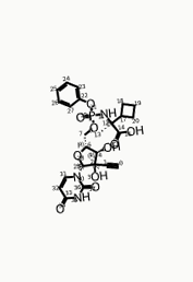 C#C[C@@]1(O)[C@H](O)[C@@H](COP(=O)(N[C@](C)(C(=O)O)C2CCC2)Oc2ccccc2)O[C@H]1n1ccc(=O)[nH]c1=O